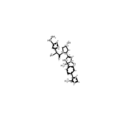 BBc1cc(C(C(=O)N2C[C@H](O)C[C@H]2C2=NN(CC)[C@](C)(c3ccc(-c4scnc4C)cc3)N2)C(C)C)on1